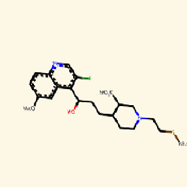 CCCCSCCN1CCC(CCC(O)c2c(F)cnc3ccc(OC)cc23)C(C(=O)O)C1